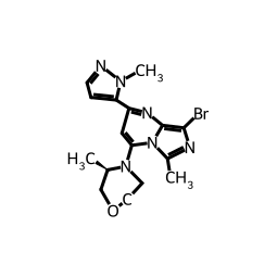 Cc1nc(Br)c2nc(-c3ccnn3C)cc(N3CCOC[C@H]3C)n12